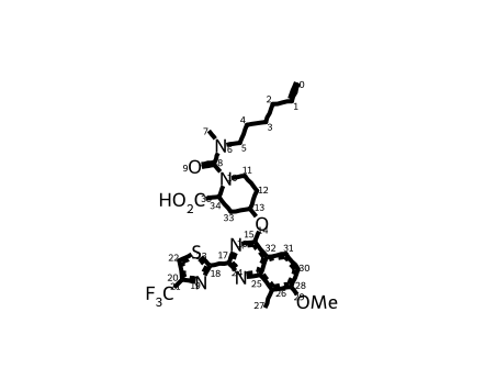 C=CCCCCN(C)C(=O)N1CCC(Oc2nc(-c3nc(C(F)(F)F)cs3)nc3c(C)c(OC)ccc23)CC1C(=O)O